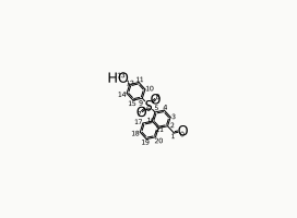 O=Cc1ccc(S(=O)(=O)c2ccc(O)cc2)c2ccccc12